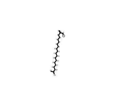 C=C([C]=O)CCCCCCCCCCCCCCCCC(C)C